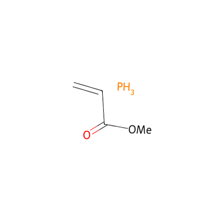 C=CC(=O)OC.P